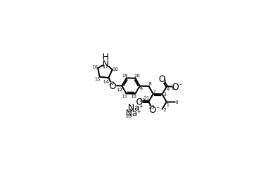 CC(C)C(C(=O)[O-])=C(Cc1ccc(OC2CCNC2)cc1)C(=O)[O-].[Na+].[Na+]